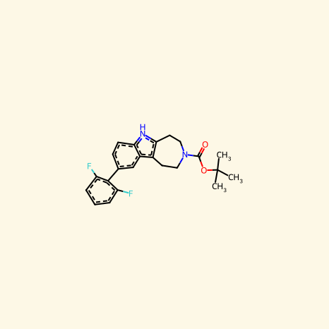 CC(C)(C)OC(=O)N1CCc2[nH]c3ccc(-c4c(F)cccc4F)cc3c2CC1